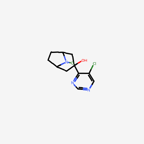 OC1(c2ncncc2Cl)CC2CCC(C1)N2Cl